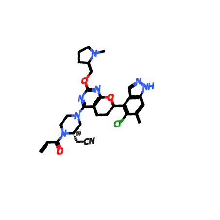 C=CC(=O)N1CCN(c2nc(OCC3CCCN3C)nc3c2CCC(c2c(Cl)c(C)cc4[nH]ncc24)O3)C[C@@H]1CC#N